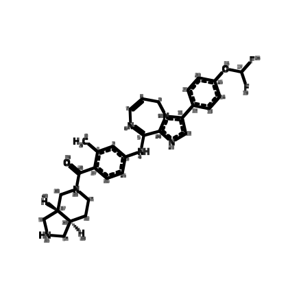 Cc1cc(NC2=NC=CCn3c(-c4ccc(OC(F)F)cc4)cnc32)ccc1C(=O)N1CC[C@H]2CNC[C@@H]2C1